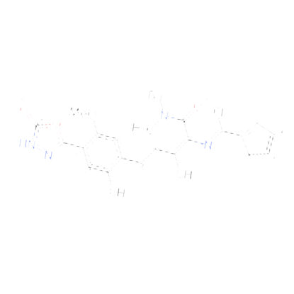 COc1cc(CC/C(C)=C(/N=C(\C)C2=CC=CC2)C(=O)N(C)C(C)(C)C)c(C)cc1-c1n[nH]c(=O)o1